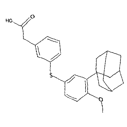 COc1ccc(Sc2cccc(CC(=O)O)c2)cc1C12CC3CC(CC(C3)C1)C2